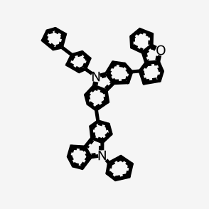 c1ccc(-c2ccc(-n3c4ccc(-c5ccc6c(c5)c5ccccc5n6-c5ccccc5)cc4c4cc(-c5cccc6oc7ccccc7c56)ccc43)cc2)cc1